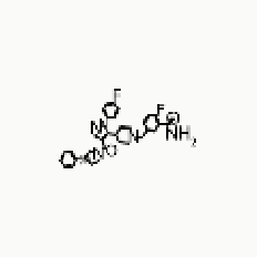 NC(=O)c1cc(CN2CCC(c3c(C(=O)N4CC[C@H](c5ccccc5)C4)cnn3-c3ccc(F)cc3)CC2)ccc1F